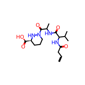 C=CCC(=O)NC(C(=O)NC(C)C(=O)N1CCC[C@@H](C(=O)O)N1)C(C)C